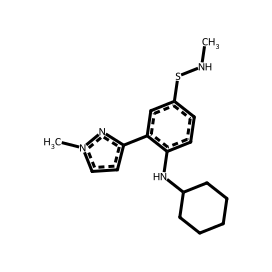 CNSc1ccc(NC2CCCCC2)c(-c2ccn(C)n2)c1